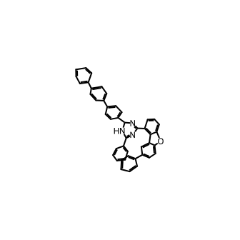 c1ccc(C2=NC(c3cccc4oc5ccc(-c6ccccc6)cc5c34)=NC(c3ccc(-c4ccc(-c5ccccc5)cc4)cc3)N2)cc1